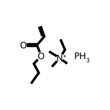 C=CC(=O)OCCC.CC[N+](C)(C)C.P